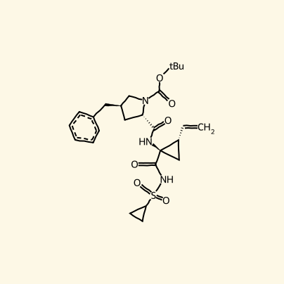 C=C[C@@H]1C[C@]1(NC(=O)[C@@H]1C[C@@H](Cc2ccccc2)CN1C(=O)OC(C)(C)C)C(=O)NS(=O)(=O)C1CC1